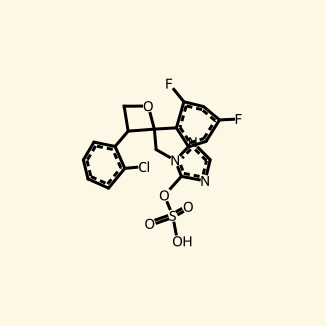 O=S(=O)(O)Oc1ncnn1CC1(c2ccc(F)cc2F)OCC1c1ccccc1Cl